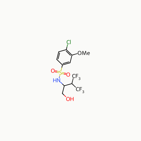 COc1cc(S(=O)(=O)NC(CO)C(C(F)(F)F)C(F)(F)F)ccc1Cl